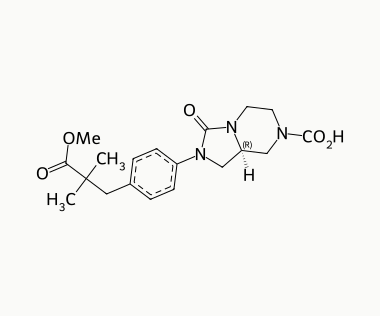 COC(=O)C(C)(C)Cc1ccc(N2C[C@@H]3CN(C(=O)O)CCN3C2=O)cc1